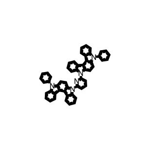 c1ccc(-n2c3ccccc3c3c4c5ccccc5n(-c5cccc(-n6c7ccccc7c7c8c9ccccc9n(-c9ccccc9)c8ccc76)n5)c4ccc32)cc1